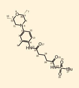 Cc1cc(N2C[C@@H](C)O[C@@H](C)C2)ccc1NC(=O)CCCC(=O)NS(=O)(=O)C(C)(C)C